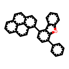 c1ccc(-c2ccc(-c3ccc4ccc5cccc6ccc3c4c56)c3c2oc2ccccc23)cc1